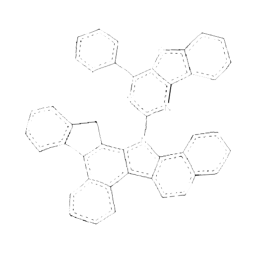 c1ccc(-c2nc(-n3c4c5c(c6ccccc6c4c4ccc6ccccc6c43)-c3ccccc3C5)nc3c2oc2ccccc23)cc1